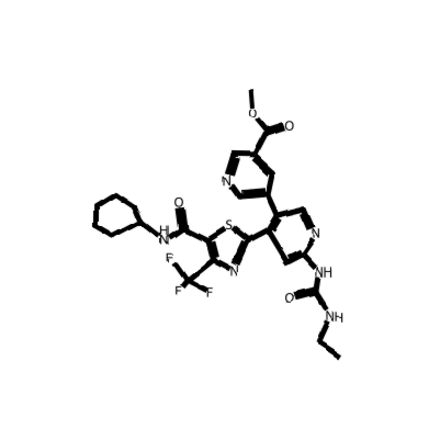 CCNC(=O)Nc1cc(-c2nc(C(F)(F)F)c(C(=O)NC3CCCCC3)s2)c(-c2cncc(C(=O)OC)c2)cn1